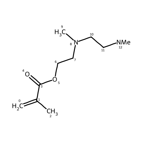 C=C(C)C(=O)OCCN(C)CCNC